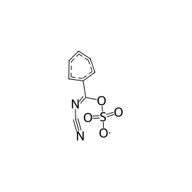 N#CN=C(OS([O])(=O)=O)c1ccccc1